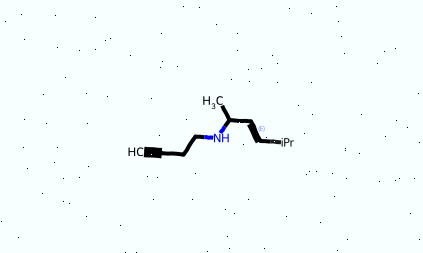 C#CCCNC(C)/C=C/C(C)C